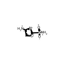 Nc1csc(S(N)(=O)=O)n1